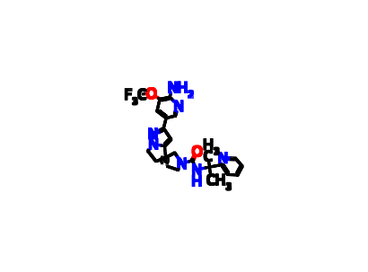 CC(C)(NC(=O)N1CC[C@@]2(CCn3nc(-c4cnc(N)c(OC(F)(F)F)c4)cc32)C1)c1ccccn1